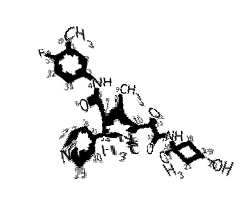 Cc1cc(NC(=O)c2c(C)c(C(=O)C(=O)N[C@]3(C)C[C@H](O)C3)n(C)c2-c2ccncc2)ccc1F